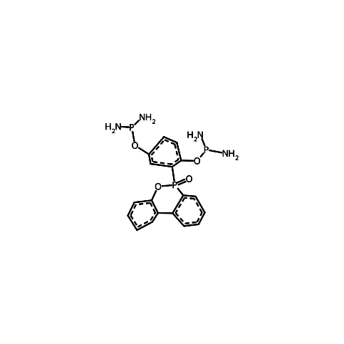 NP(N)Oc1ccc(OP(N)N)c(P2(=O)Oc3ccccc3-c3ccccc32)c1